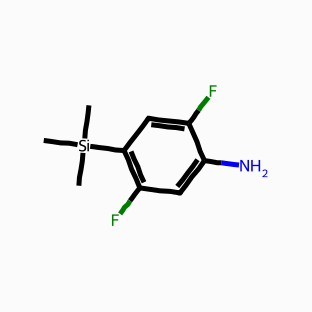 C[Si](C)(C)c1cc(F)c(N)cc1F